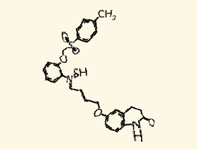 Cc1ccc(S(=O)(=O)COc2ccccc2[N+](S)=CCCCOc2ccc3c(c2)CCC(=O)N3)cc1